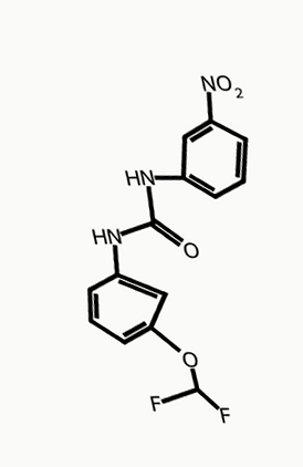 O=C(Nc1cccc(OC(F)F)c1)Nc1cccc([N+](=O)[O-])c1